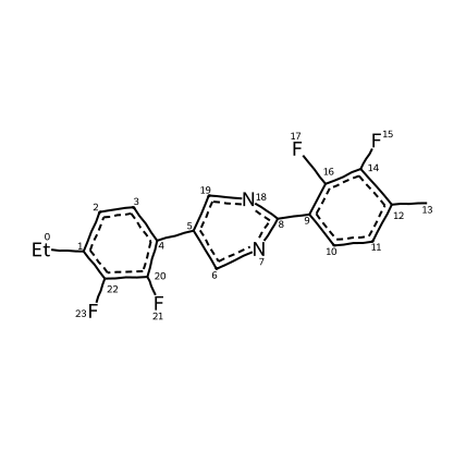 CCc1ccc(-c2cnc(-c3ccc(C)c(F)c3F)nc2)c(F)c1F